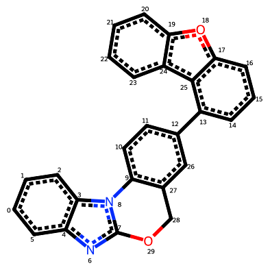 c1ccc2c(c1)nc1n2-c2ccc(-c3cccc4oc5ccccc5c34)cc2CO1